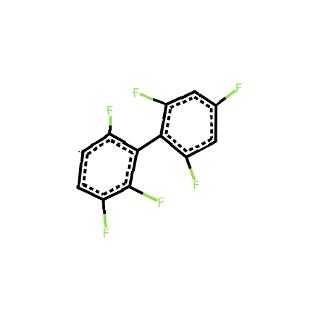 Fc1cc(F)c(-c2c(F)[c]cc(F)c2F)c(F)c1